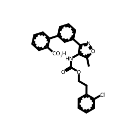 Cc1onc(-c2cccc(-c3ccccc3C(=O)O)c2)c1NC(=O)OCCc1ccccc1Cl